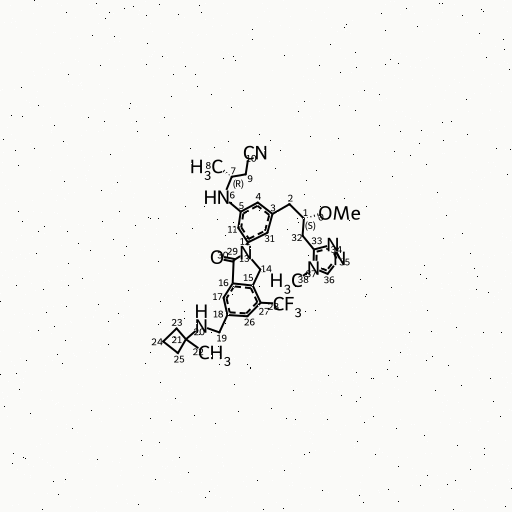 CO[C@@H](Cc1cc(N[C@H](C)CC#N)cc(N2Cc3c(cc(CNC4(C)CCC4)cc3C(F)(F)F)C2=O)c1)Cc1nncn1C